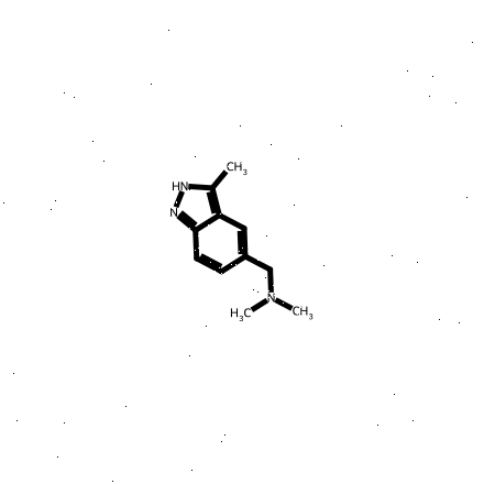 Cc1[nH]nc2ccc(CN(C)C)cc12